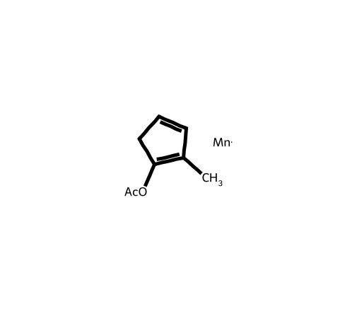 CC(=O)OC1=C(C)C=CC1.[Mn]